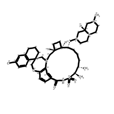 C[C@@H]1[C@@H](C)CCC[C@@H](CN2CCN3CCN(C)C[C@H]3C2)[C@@H]2CC[C@H]2CN2C[C@@]3(CCCc4cc(Cl)ccc43)COc3ccc(cc32)C(=O)NS1(=O)=O